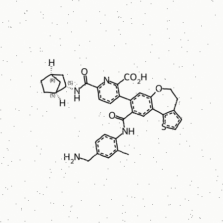 Cc1cc(CN)ccc1NC(=O)c1cc2c(cc1-c1ccc(C(=O)N[C@H]3C[C@@H]4CC[C@H]3C4)nc1C(=O)O)OCCc1ccsc1-2